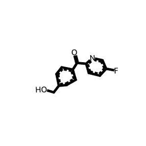 O=C(c1ccc(CO)cc1)c1ccc(F)cn1